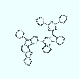 c1ccc(-c2nc(-c3ccccc3)nc(-n3c4ccccc4c4c5ccccc5c(-c5ccc6c(c5)c5c7sc8ccccc8c7ccc5n6-c5ccccc5)cc43)n2)cc1